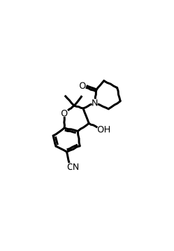 CC1(C)Oc2ccc(C#N)cc2C(O)C1N1CCCCC1=O